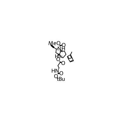 C#CC1C[C@H]2[C@@H](OC(=O)CCNC(=O)OC(C)(C)C)CCC[C@H]2N1C(=O)OC.Cc1cc2ccc1-2